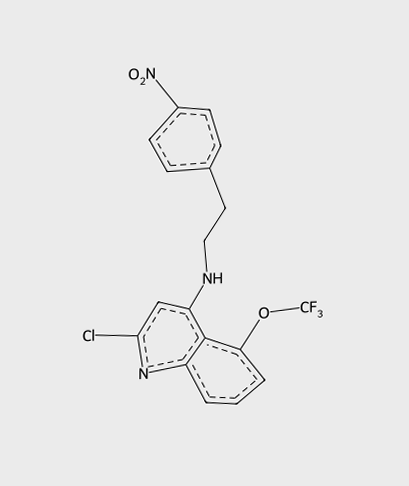 O=[N+]([O-])c1ccc(CCNc2cc(Cl)nc3cccc(OC(F)(F)F)c23)cc1